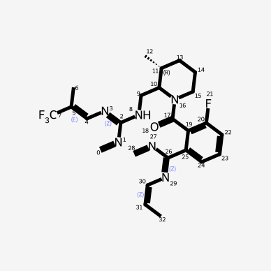 C=N/C(=N\C=C(/C)C(F)(F)F)NCC1[C@H](C)CCCN1C(=O)c1c(F)cccc1/C(N=C)=N/C=C\C